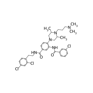 CC1CN(c2ccc(C(=O)NCCc3ccc(Cl)cc3Cl)cc2NC(=O)c2cccc(Cl)c2)CC(C)N1CCCN(C)C